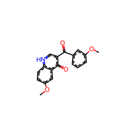 COc1cccc(C(=O)c2c[nH]c3ccc(OC)cc3c2=O)c1